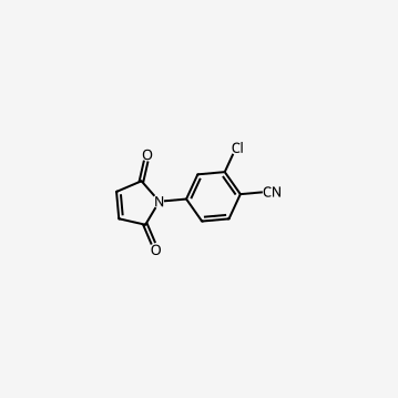 N#Cc1ccc(N2C(=O)C=CC2=O)cc1Cl